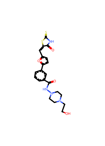 O=C1NC(=S)SC1=Cc1ccc(-c2cccc(C(=O)NN3CCN(CCO)CC3)c2)o1